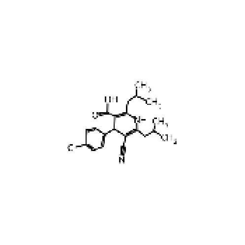 CC(C)CC1=C(C#N)C(c2ccc(Cl)cc2)C(C(=O)O)=C(CC(C)C)N1